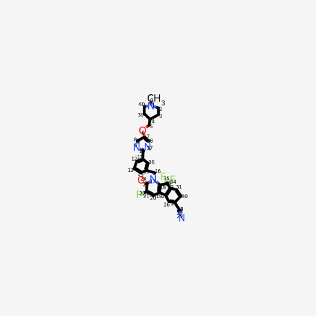 CN1CCC(COc2cnc(-c3cccc(Cn4c5c(cc(F)c4=O)-c4cc(C#N)ccc4C5(F)F)c3)nc2)CC1